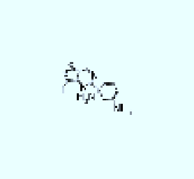 NC1=CC=CC(N)(c2ncc3scc(I)c3n2)C1